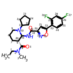 CCN(C)C(=O)[C@@H]1CCCN(C2CCCC2)C1NC(=O)c1cc(-c2ccc(F)cc2F)on1